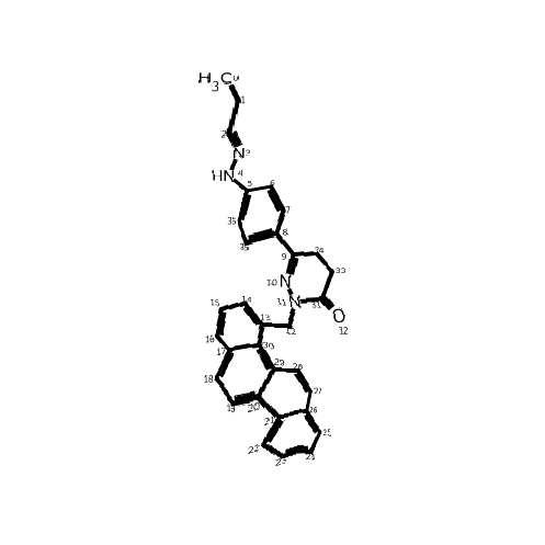 CCC=NNc1ccc(C2=NN(Cc3cccc4ccc5c6ccccc6ccc5c34)C(=O)CC2)cc1